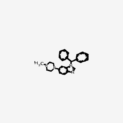 CN1CCN(c2ccc3ncn(C(c4ccccc4)c4ccccc4)c3c2)CC1